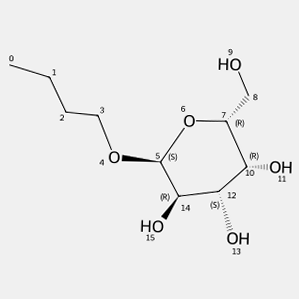 CCCCO[C@H]1O[C@H](CO)[C@H](O)[C@H](O)[C@H]1O